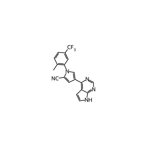 Cc1ccc(C(F)(F)F)cc1-n1cc(-c2ncnc3[nH]ccc23)cc1C#N